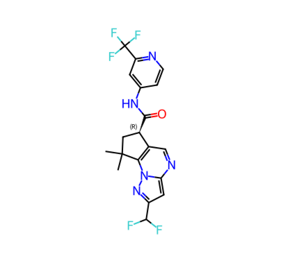 CC1(C)C[C@@H](C(=O)Nc2ccnc(C(F)(F)F)c2)c2cnc3cc(C(F)F)nn3c21